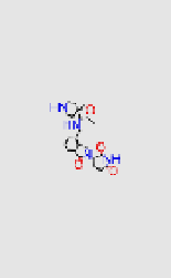 CC1OCC2(CCNCC2)C1NCc1cccc2c1CN(C1CCC(=O)NC1=O)C2=O